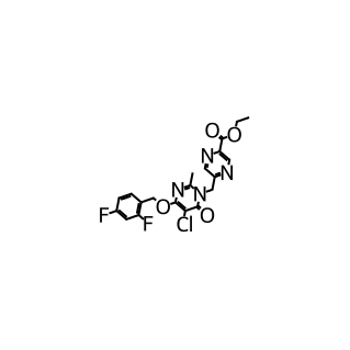 CCOC(=O)c1cnc(Cn2c(C)nc(OCc3ccc(F)cc3F)c(Cl)c2=O)cn1